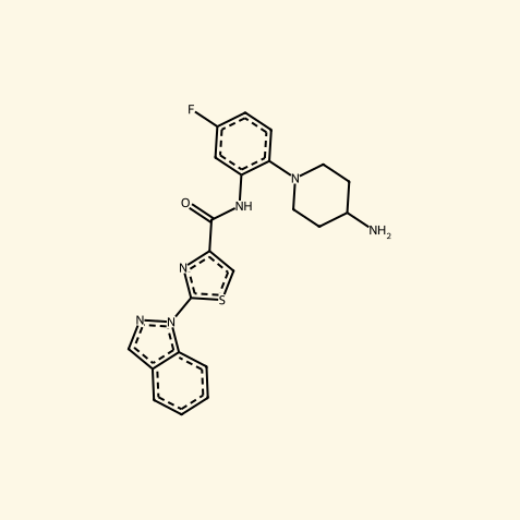 NC1CCN(c2ccc(F)cc2NC(=O)c2csc(-n3ncc4ccccc43)n2)CC1